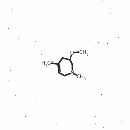 CO[C@@H]1CC(C)=CCN(C)C1